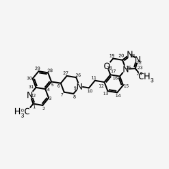 Cc1ccc2c(C3CCN(CCc4cccc5c4OCc4nnc(C)n4-5)CC3)cccc2n1